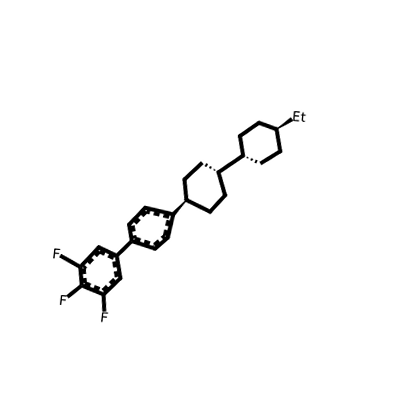 CC[C@H]1CC[C@H]([C@H]2CC[C@H](c3ccc(-c4cc(F)c(F)c(F)c4)cc3)CC2)CC1